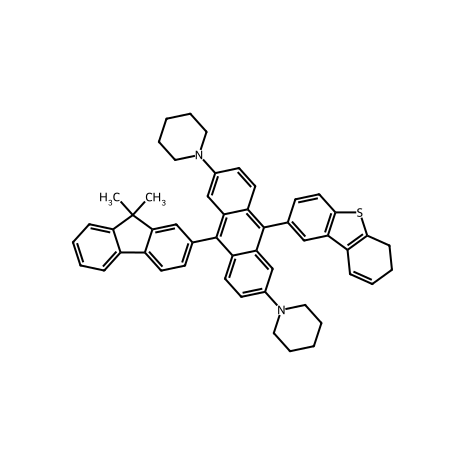 CC1(C)c2ccccc2-c2ccc(-c3c4ccc(N5CCCCC5)cc4c(-c4ccc5sc6c(c5c4)C=CCC6)c4ccc(N5CCCCC5)cc34)cc21